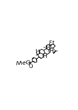 C=C(C)[C@@H]1CC[C@]2(CC)CC[C@]3(C)[C@H](CC[C@@H]4[C@@]5(C)CC=C(c6ccc(C(=O)OC)cc6)C(C)(C)[C@@H]5CC[C@]43C)[C@@H]12